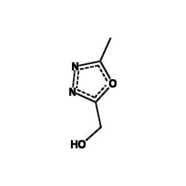 Cc1nnc(CO)o1